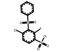 O=S(=O)(Cl)c1ccc(Cl)c(S(=O)(=O)c2ccccc2)c1F